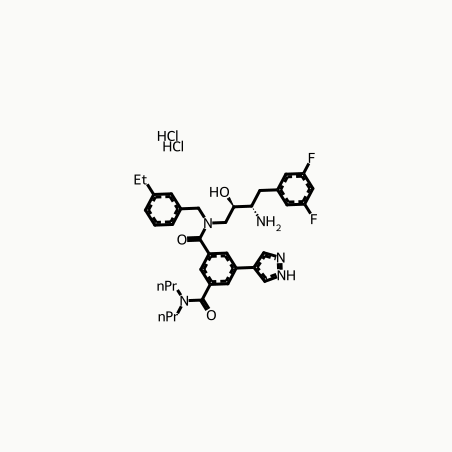 CCCN(CCC)C(=O)c1cc(C(=O)N(Cc2cccc(CC)c2)C[C@@H](O)[C@@H](N)Cc2cc(F)cc(F)c2)cc(-c2cn[nH]c2)c1.Cl.Cl